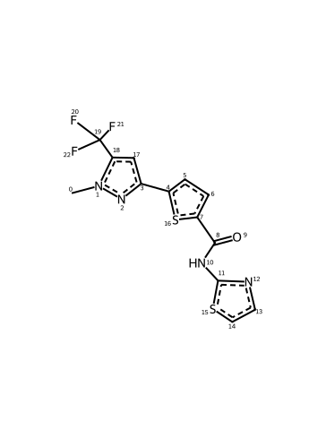 Cn1nc(-c2ccc(C(=O)Nc3nccs3)s2)cc1C(F)(F)F